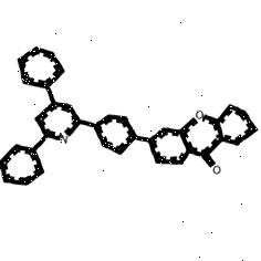 O=c1c2ccccc2oc2cc(-c3ccc(-c4cc(-c5ccccc5)cc(-c5ccccc5)n4)cc3)ccc12